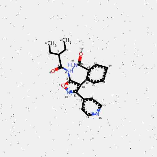 CCC(CC)C(=O)Nc1onc(-c2ccncc2)c1-c1ccccc1C(N)=O